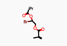 C=C(C)C(=O)OCC(Br)OC(=O)C(C)C